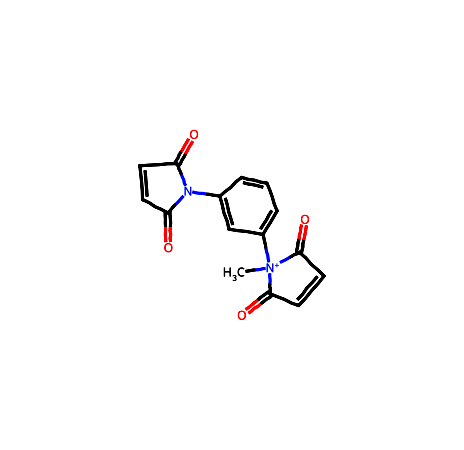 C[N+]1(c2cccc(N3C(=O)C=CC3=O)c2)C(=O)C=CC1=O